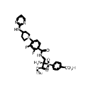 CC(C)(C)OC(=O)[C@](N)(CNC(=O)c1ccc(N2CCC(Nc3ncccn3)CC2)c(F)c1F)S(=O)(=O)c1ccc(C(=O)O)cc1